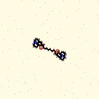 C1=C(/C=C/CC/C=C/c2cc3cc4c5c(c3o2)CCCN5CCC4)OC2C3=C4C(=CC12)CCCN4CCC3